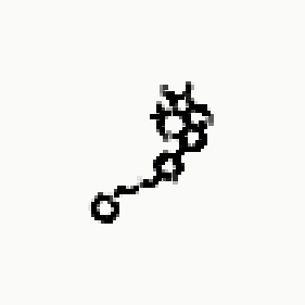 Cn1c(=O)n2c3c4c(c(-c5ccc(COCCN6CCCCC6)nc5)ccc4ncc31)OCC2(C)C